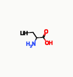 CCC(N)C(=O)O.[LiH]